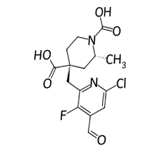 C[C@@H]1C[C@](Cc2nc(Cl)cc(C=O)c2F)(C(=O)O)CCN1C(=O)O